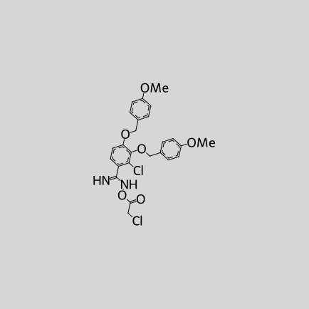 COc1ccc(COc2ccc(C(=N)NOC(=O)CCl)c(Cl)c2OCc2ccc(OC)cc2)cc1